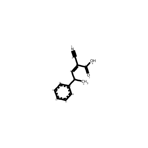 CC(C=C(C#N)C(=O)O)c1ccccc1